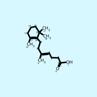 CC(=CCCC(=O)O)CCC1=C(C)CCCC1(C)C